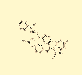 CN(C)Cc1ccc(N/C(=C2\C(=O)Nc3cc(F)ccc32)c2cccc(CCNC(=O)c3ccccc3)c2)cc1